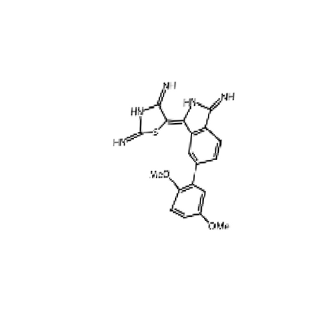 COc1ccc(OC)c(-c2ccc3c(c2)C(=C2SC(=N)NC2=N)NC3=N)c1